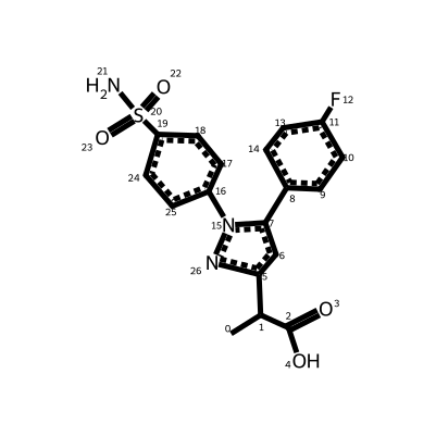 CC(C(=O)O)c1cc(-c2ccc(F)cc2)n(-c2ccc(S(N)(=O)=O)cc2)n1